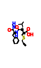 C#CCSC[C@H](C(=O)O)[C@@H](CC(C)C)C(=O)N[C@@H](Cc1ccccc1)C(=O)NC